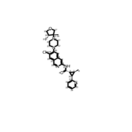 C[C@@H]1[C@@H](C(=O)Nc2cc3cc(N4CCN([C@@]5(C)COC[C@H]5F)CC4)c(Cl)cc3cn2)[C@@H]1c1ccccn1